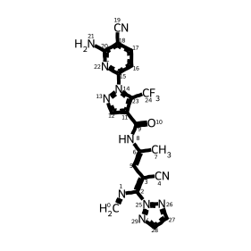 C=N/C(=C(C#N)\C=C(/C)NC(=O)c1cnn(-c2ccc(C#N)c(N)n2)c1C(F)(F)F)n1nccn1